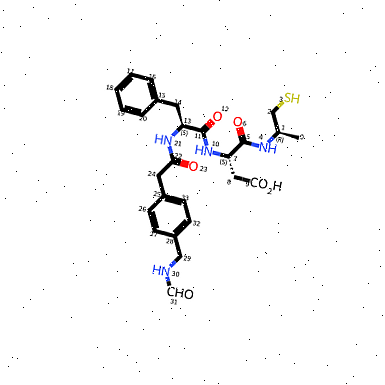 C[C@H](CS)NC(=O)[C@H](CC(=O)O)NC(=O)[C@H](Cc1ccccc1)NC(=O)Cc1ccc(CNC=O)cc1